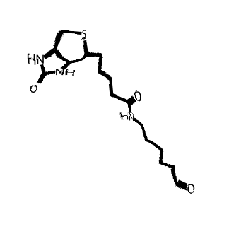 O=CCCCCCNC(=O)CCCCC1SCC2NC(=O)NC21